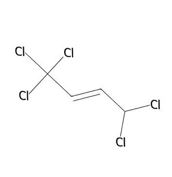 ClC(Cl)C=CC(Cl)(Cl)Cl